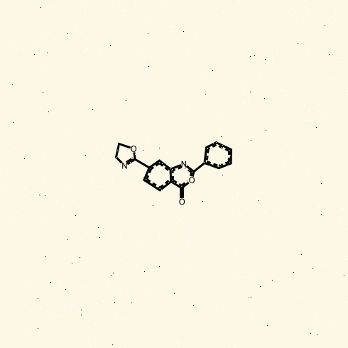 O=c1oc(-c2ccccc2)nc2cc(C3=NCCO3)ccc12